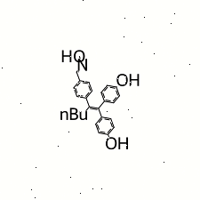 CCCCC(=C(c1ccc(O)cc1)c1ccc(O)cc1)c1ccc(C=NO)cc1